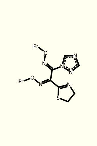 CC(C)ON=C(C1=NCCS1)C(=NOC(C)C)n1cncn1